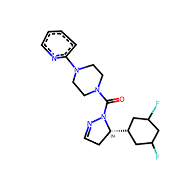 O=C(N1CCN(c2ccccn2)CC1)N1N=CC[C@H]1C1CC(F)CC(F)C1